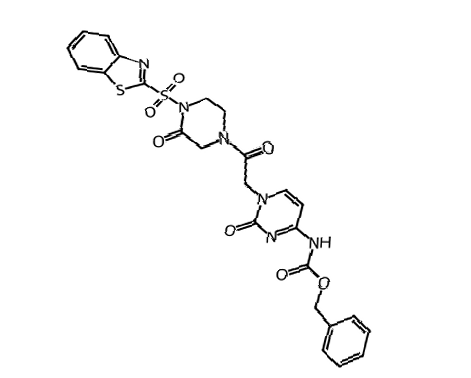 O=C(Nc1ccn(CC(=O)N2CCN(S(=O)(=O)c3nc4ccccc4s3)C(=O)C2)c(=O)n1)OCc1ccccc1